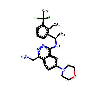 Cc1c([C@@H](C)Nc2nnc(CN)c3ccc(N4CCOCC4)cc23)cccc1C(C)(F)F